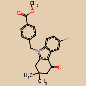 COC(=O)c1ccc(Cn2c3c(c4cc(F)ccc42)C(=O)CC(C)(C)C3)cc1